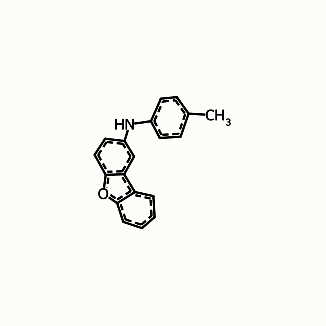 Cc1ccc(Nc2ccc3oc4ccccc4c3c2)cc1